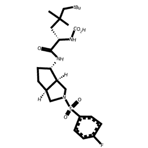 CC(C)(C)CC(C)(C)C[C@H](NC(=O)O)C(=O)N[C@H]1CC[C@@H]2CN(S(=O)(=O)c3ccc(F)cc3)C[C@@H]21